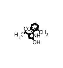 CC(C(=O)O)c1cc(O)[nH]n1.Cc1ccccc1